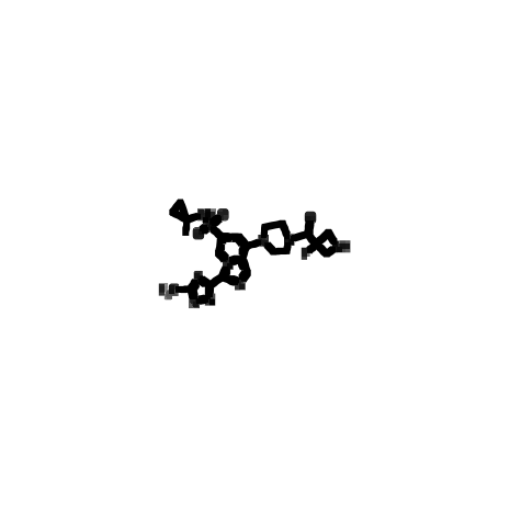 CC1(NS(=O)(=O)c2cc(N3CCN(C(=O)C4(F)CNC4)CC3)c3cnc(-c4nnc(C(F)(F)F)s4)n3c2)CC1